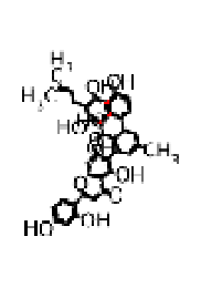 CC(C)=CCc1c(O)ccc(C(=O)C2C(c3c(O)cc4oc(-c5ccc(O)cc5O)cc(=O)c4c3O)C=C(C)CC2c2ccc(O)cc2O)c1O